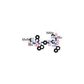 CN[C@@H](C)C(=O)N[C@H](C(=O)N1C[C@@H](NC(=O)c2ccc(CN(C(=O)[C@@H]3Cc4ccccc4CN3C(=O)[C@@H](NC(=O)[C@H](C)NC)C(C)(C)C)[C@H]3CCCc4ccccc43)cc2)C[C@H]1C(=O)N[C@@H]1CCCc2ccccc21)C(C)(C)C